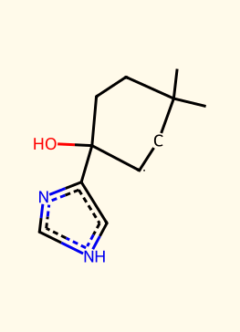 CC1(C)C[CH]C(O)(c2c[nH]cn2)CC1